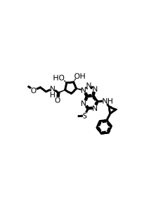 COCCNC(=O)[C@@H]1C[C@H](n2nnc3c(NC4CC4c4ccccc4)nc(SC)nc32)[C@@H](O)[C@H]1O